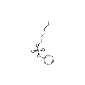 CCCCCCOS(=O)(=O)Oc1ccccc1